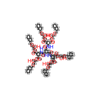 O=C(Nc1cc(C(=O)OCC(O)COCc2ccc3ccccc3c2)cc(C(=O)OCC(O)COCc2ccc3ccccc3c2)c1)c1cc(C(=O)Nc2cc(C(=O)OCC(O)COCc3ccc4ccccc4c3)cc(C(=O)OCC(O)COCc3ccc4ccccc4c3)c2)cc(C(=O)Nc2cc(C(=O)OCC(O)COCc3cccc4ccccc34)cc(C(=O)OCC(O)COCc3cccc4ccccc34)c2)c1